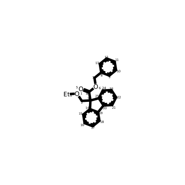 CCOCC1(C(=O)OCc2ccccc2)c2ccccc2-c2ccccc21